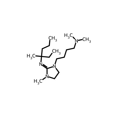 CCCC(C)(CC)N=C1N(C)CCN1CCCCN(C)C